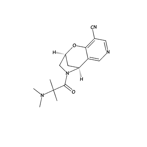 CN(C)C(C)(C)C(=O)N1C[C@@H]2C[C@H]1c1cncc(C#N)c1O2